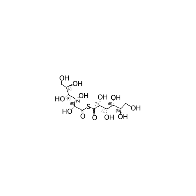 O=C(SC(=O)[C@H](O)[C@@H](O)[C@H](O)[C@H](O)CO)[C@H](O)[C@@H](O)[C@H](O)[C@H](O)CO